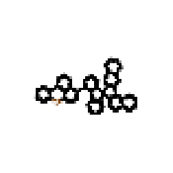 c1ccc2c(c1)Sc1ccc(-c3cccc4c3-c3ccccc3C43c4cc5ccccc5cc4-c4c3ccc3ccccc43)c3cccc-2c13